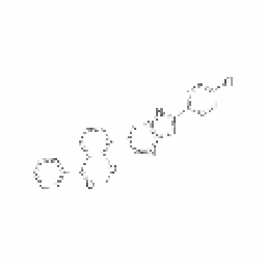 COc1c(C(=O)c2ccccc2)cccc1-c1cnc2cc(-c3ccc(Cl)cc3)nn2c1